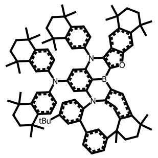 CC(C)(C)c1ccc2c(c1)-c1cccc(c1)C1(C)CCC(C)(C)c3cc4c(cc31)N2c1cc(N(c2ccc3c(c2)C(C)(C)CCC3(C)C)c2ccc3c(c2)C(C)(C)CCC3(C)C)cc2c1B4c1oc3cc4c(cc3c1N2c1ccc2c(c1)C(C)(C)CCC2(C)C)C(C)(C)CCC4(C)C